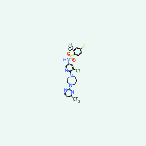 Cc1cc(F)ccc1S(=O)(=O)Nc1cnc(N2CCCN(c3nccc(C(F)(F)F)n3)CC2)c(Cl)c1